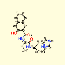 CC(C)C[C@H](NC(=O)c1cc2ccccc2cc1O)C(=O)N[C@H](C=O)Cc1cnc[nH]1